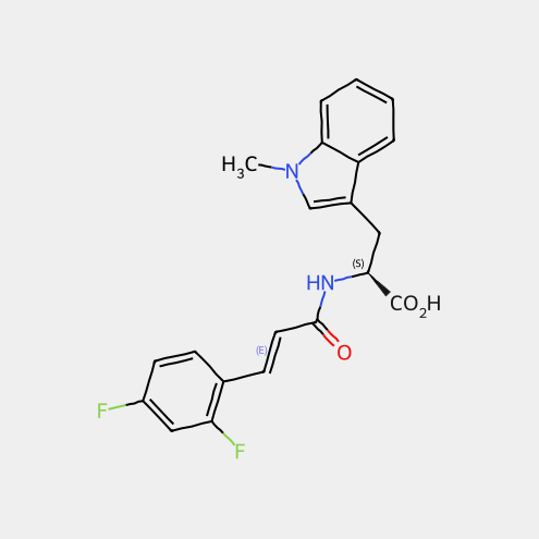 Cn1cc(C[C@H](NC(=O)/C=C/c2ccc(F)cc2F)C(=O)O)c2ccccc21